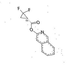 O=C(Oc1cc2ccccc2cn1)[C@@H]1CC1(F)F